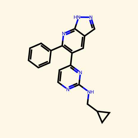 c1ccc(-c2nc3[nH]ncc3cc2-c2ccnc(NCC3CC3)n2)cc1